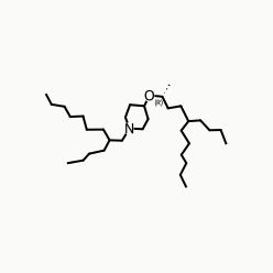 CCCCCCCC(CCCC)CN1CCC(O[C@H](C)CCC(CCCC)CCCCCC)CC1